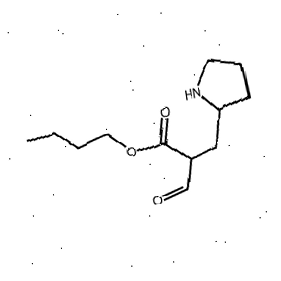 CCCCOC(=O)C(C=O)CC1CCCN1